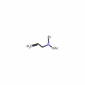 C=CCN(OC(C)=O)C(C)=O